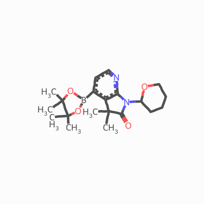 CC1(C)C(=O)N(C2CCCCO2)c2nccc(B3OC(C)(C)C(C)(C)O3)c21